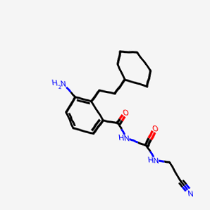 N#CCNC(=O)NC(=O)c1cccc(N)c1CCC1CCCCC1